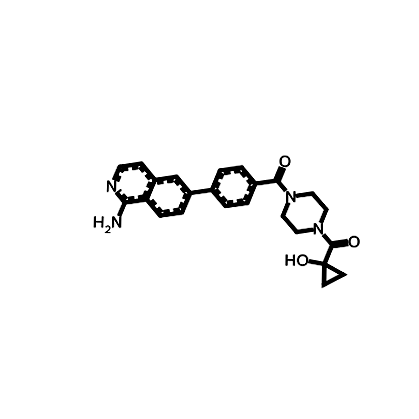 Nc1nccc2cc(-c3ccc(C(=O)N4CCN(C(=O)C5(O)CC5)CC4)cc3)ccc12